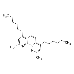 CCCCCCc1cc(C)nc2c1ccc1c(CCCCCC)cc(C)nc12